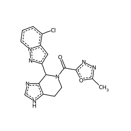 Cc1nnc(C(=O)N2CCc3[nH]cnc3C2c2cc3c(Cl)cccn3n2)o1